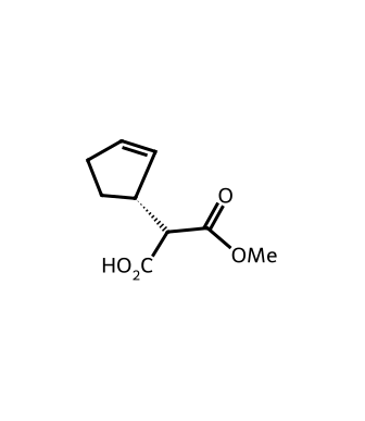 COC(=O)C(C(=O)O)[C@H]1C=CCC1